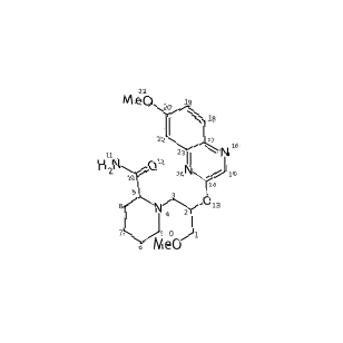 COCC(CN1CC[CH]CC1C(N)=O)Oc1cnc2ccc(OC)cc2n1